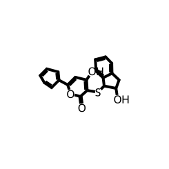 O=c1oc(-c2ccccc2)cc(O)c1SC1c2ccccc2CC1O